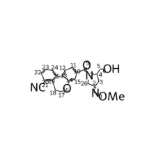 CO/N=C1\CC(CO)N(C(=O)c2ccc3c(c2)OCCc2c(C#N)cccc2-3)C1